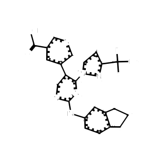 O=C(O)c1cncc(-c2cnc(Nc3ccc4c(c3)CCC4)nc2-n2ccc(C(F)(F)F)n2)c1